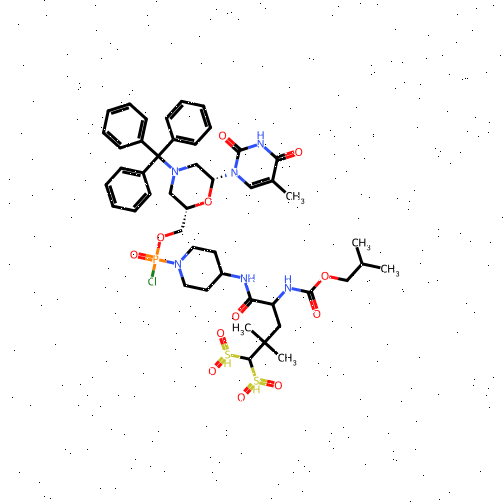 Cc1cn([C@H]2CN(C(c3ccccc3)(c3ccccc3)c3ccccc3)C[C@@H](COP(=O)(Cl)N3CCC(NC(=O)C(CC(C)(C)C([SH](=O)=O)[SH](=O)=O)NC(=O)OCC(C)C)CC3)O2)c(=O)[nH]c1=O